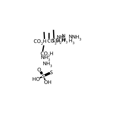 CC(=O)O.CC(=O)O.CC(=O)O.CC(=O)O.N.N.N.N.N.N.O=S(O)(O)=S